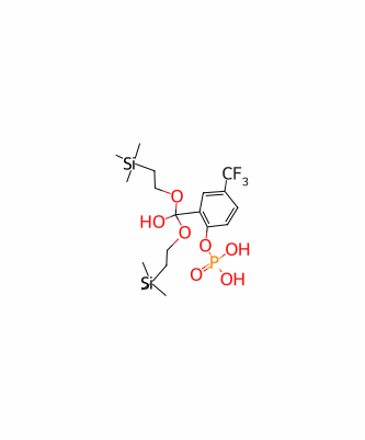 C[Si](C)(C)CCOC(O)(OCC[Si](C)(C)C)c1cc(C(F)(F)F)ccc1OP(=O)(O)O